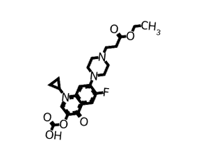 CCOC(=O)CCN1CCN(c2cc3c(cc2F)c(=O)c(OC(=O)O)cn3C2CC2)CC1